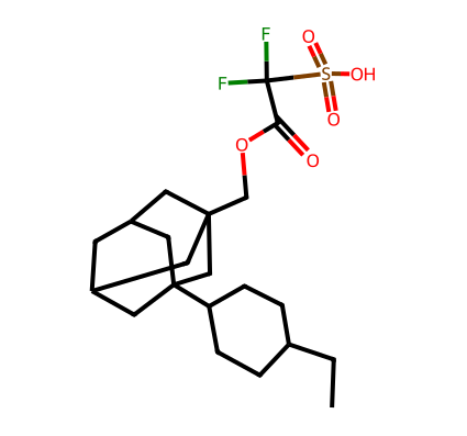 CCC1CCC(C23CC4CC(CC(COC(=O)C(F)(F)S(=O)(=O)O)(C4)C2)C3)CC1